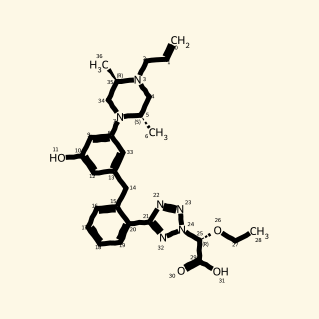 C=CCN1C[C@H](C)N(c2cc(O)cc(Cc3ccccc3-c3nnn([C@H](OCC)C(=O)O)n3)c2)C[C@H]1C